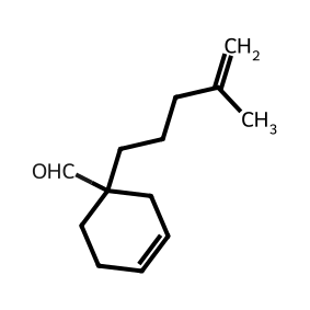 C=C(C)CCCC1(C=O)CC=CCC1